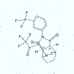 O=C1[C@@H]2C3CCC(CN3OC(=O)C(F)(F)F)[C@@H]2C(=O)N1c1cccc(C(F)(F)F)c1